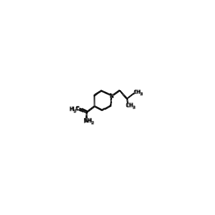 C=C(N)C1CCN(CC(C)C)CC1